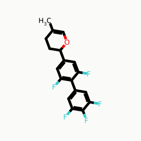 CC1=COC(c2cc(F)c(-c3cc(F)c(F)c(F)c3)c(F)c2)CC1